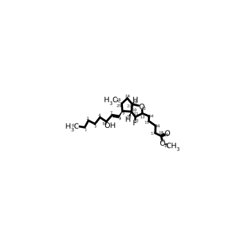 CCCCC[C@H](O)/C=C/[C@@H]1[C@H]2C(F)C(CCCCC(=O)OC)O[C@@H]2C[C@H]1C